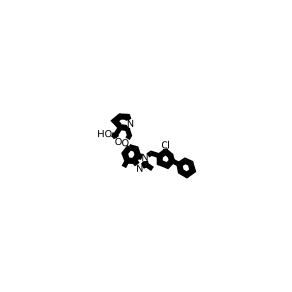 Cc1cc(OCc2ncccc2C(=O)O)cc2c1nc(C)n2Cc1ccc(-c2ccccc2)cc1Cl